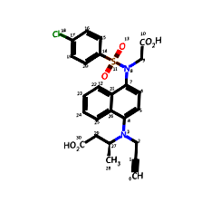 C#CCN(c1ccc(N(CC(=O)O)S(=O)(=O)c2ccc(Cl)cc2)c2ccccc12)[C@@H](C)CC(=O)O